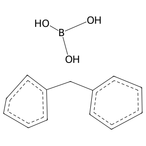 OB(O)O.c1ccc(Cc2ccccc2)cc1